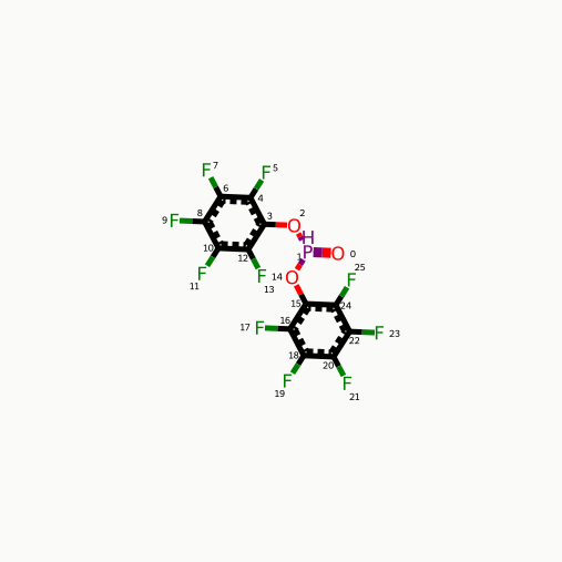 O=[PH](Oc1c(F)c(F)c(F)c(F)c1F)Oc1c(F)c(F)c(F)c(F)c1F